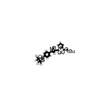 CC(C)(C)OC(=O)[C@H]1CCCN1C(=O)c1cc(-c2ccc(B3OC(C)(C)C(C)(C)O3)cc2)no1